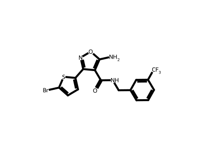 Nc1onc(-c2ccc(Br)s2)c1C(=O)NCc1cccc(C(F)(F)F)c1